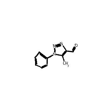 Cc1c(C=O)nnn1-c1ccccc1